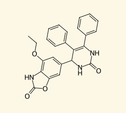 CCOc1cc(C2NC(=O)NC(c3ccccc3)=C2c2ccccc2)cc2oc(=O)[nH]c12